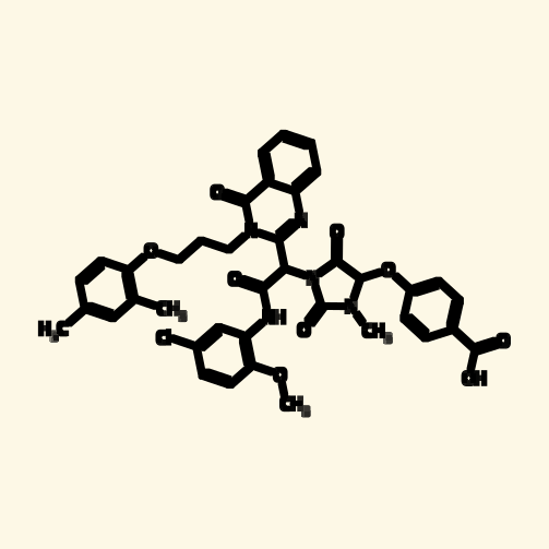 COc1ccc(Cl)cc1NC(=O)C(c1nc2ccccc2c(=O)n1CCCOc1ccc(C)cc1C)N1C(=O)C(Oc2ccc(C(=O)O)cc2)N(C)C1=O